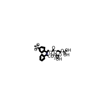 CCOC(=O)/C(=C(\COC(=O)OCC(ON(O)O)ON(O)O)c1ccc(S(C)(=O)=O)cc1)c1ccccc1